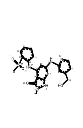 Cn1[nH]c2nc(Nc3cc(CO)ccn3)cc(Nc3ccccc3S(C)(=O)=O)c2c1=O